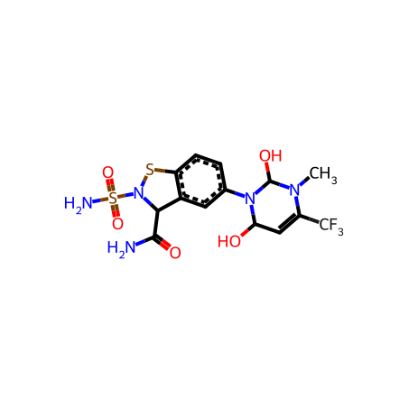 CN1C(C(F)(F)F)=CC(O)N(c2ccc3c(c2)C(C(N)=O)N(S(N)(=O)=O)S3)C1O